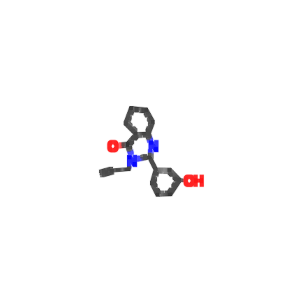 C#CCn1c(-c2cccc(O)c2)nc2ccccc2c1=O